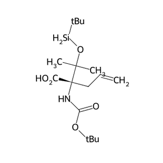 C=CC[C@@](NC(=O)OC(C)(C)C)(C(=O)O)C(C)(C)O[SiH2]C(C)(C)C